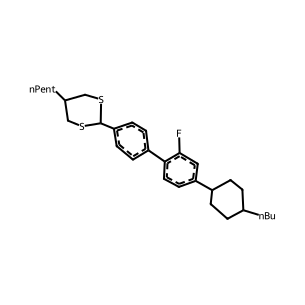 CCCCCC1CSC(c2ccc(-c3ccc(C4CCC(CCCC)CC4)cc3F)cc2)SC1